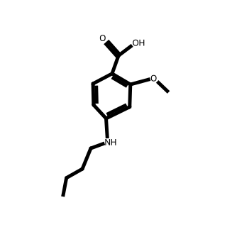 CCCCNc1ccc(C(=O)O)c(OC)c1